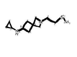 NSCCN1CC2(CC(NC3CC3)C2)C1